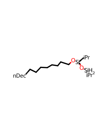 CCCCCCCCCCCCCCCCCCO[Si](O[SiH2]C(C)C)C(C)C